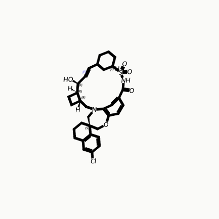 O=C1NS(=O)(=O)[C@@H]2CCCC(/C=C/[C@H](O)[C@@H]3CC[C@H]3CN3C[C@@]4(CCCc5cc(Cl)ccc54)COc4ccc1cc43)C2